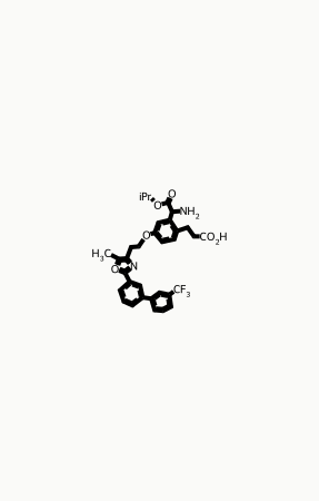 Cc1oc(-c2cccc(-c3cccc(C(F)(F)F)c3)c2)nc1CCOc1ccc(CCC(=O)O)c(C(N)C(=O)OC(C)C)c1